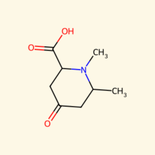 CC1CC(=O)CC(C(=O)O)N1C